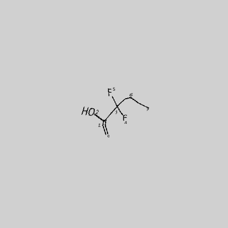 C=C(O)C(F)(F)CC